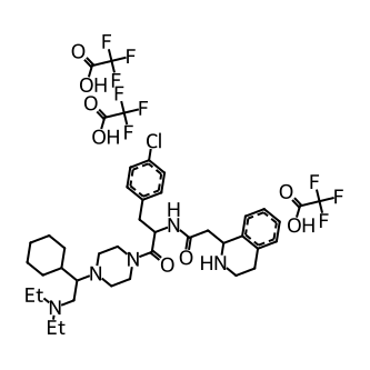 CCN(CC)CC(C1CCCCC1)N1CCN(C(=O)C(Cc2ccc(Cl)cc2)NC(=O)CC2NCCc3ccccc32)CC1.O=C(O)C(F)(F)F.O=C(O)C(F)(F)F.O=C(O)C(F)(F)F